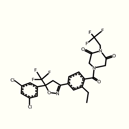 CCc1cc(C2=NOC(c3cc(Cl)cc(Cl)c3)(C(F)(F)F)C2)ccc1C(=O)N1CC(=O)N(CC(F)(F)F)C(=O)C1